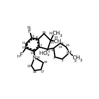 CN1CCC(C2(O)c3c(c(F)cc(F)c3N3CCCC3)CC2(C)C)CC1